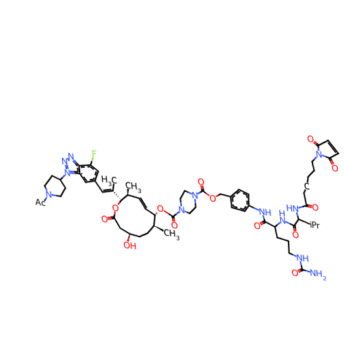 CC(=O)N1CCC(n2nnc3c(F)cc(/C=C(\C)[C@H]4OC(=O)C[C@H](O)CC[C@H](C)[C@@H](OC(=O)N5CCN(C(=O)OCc6ccc(NC(=O)C(CCCNC(N)=O)NC(=O)C(NC(=O)CCCCCN7C(=O)C=CC7=O)C(C)C)cc6)CC5)/C=C/[C@@H]4C)cc32)CC1